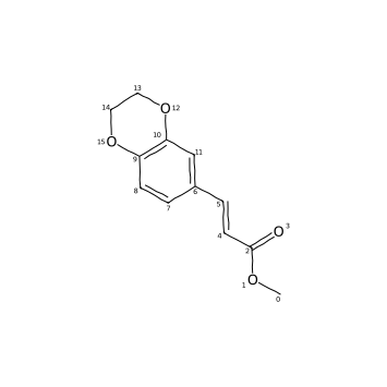 COC(=O)C=Cc1ccc2c(c1)OCCO2